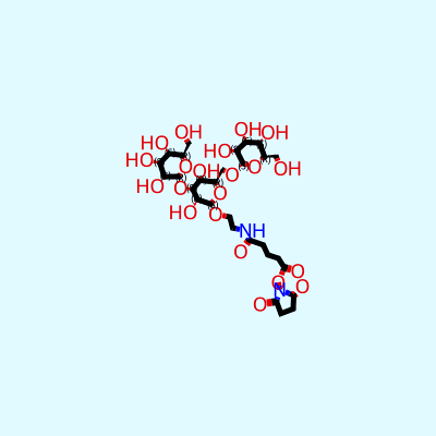 O=C(CCCC(=O)ON1C(=O)CCC1=O)NCCO[C@H]1O[C@H](CO[C@H]2O[C@H](CO)[C@@H](O)[C@H](O)[C@@H]2O)[C@@H](O)[C@H](O[C@H]2O[C@H](CO)[C@@H](O)[C@H](O)[C@@H]2O)[C@H]1O